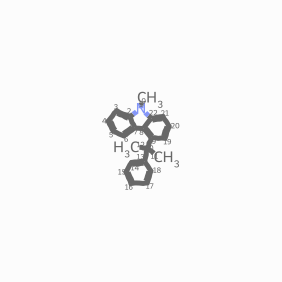 Cn1c2ccccc2c2c(C(C)(C)c3ccccc3)cccc21